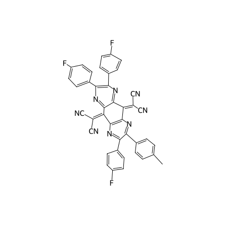 Cc1ccc(-c2nc3c(=C(C#N)C#N)c4nc(-c5ccc(F)cc5)c(-c5ccc(F)cc5)nc4c(=C(C#N)C#N)c3nc2-c2ccc(F)cc2)cc1